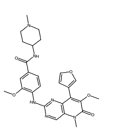 COc1cc(C(=O)NC2CCN(C)CC2)ccc1Nc1ncc2c(n1)c(-c1ccoc1)c(OC)c(=O)n2C